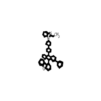 CCc1nc2ccccc2n1-c1ccc(-c2ccc(-c3c4ccccc4c(-c4cccc5oc6ccccc6c45)c4cc(-c5ccccc5)ccc34)cc2)cc1